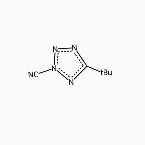 CC(C)(C)c1nnn(C#N)n1